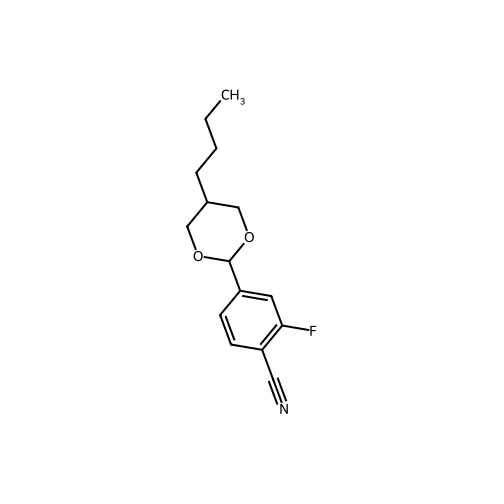 CCCCC1COC(c2ccc(C#N)c(F)c2)OC1